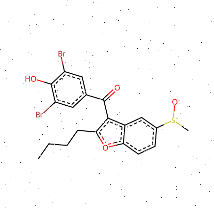 CCCCc1oc2ccc([S+](C)[O-])cc2c1C(=O)c1cc(Br)c(O)c(Br)c1